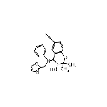 CC1(C)Oc2ccc(C#N)cc2C(N(Cc2ncco2)c2ccccc2)[C@H]1O